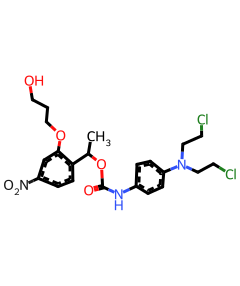 CC(OC(=O)Nc1ccc(N(CCCl)CCCl)cc1)c1ccc([N+](=O)[O-])cc1OCCCO